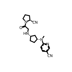 CN(c1ccc(C#N)cn1)[C@@H]1CC[C@H](NCC(=O)N2CCC[C@H]2C#N)C1